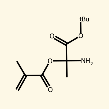 C=C(C)C(=O)OC(C)(N)C(=O)OC(C)(C)C